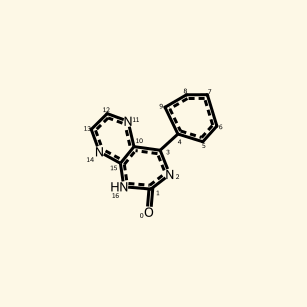 O=c1nc(-c2ccccc2)c2nccnc2[nH]1